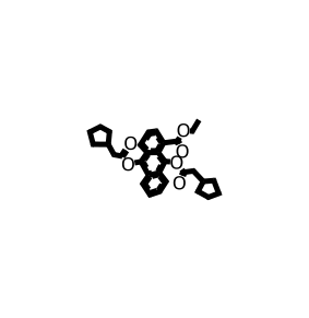 CCOC(=O)c1cccc2c(OC(=O)CC3CCCC3)c3ccccc3c(OC(=O)CC3CCCC3)c12